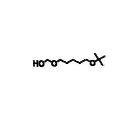 CC(C)(C)OCCCCCOCO